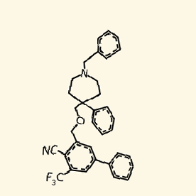 N#Cc1c(COCC2(c3ccccc3)CCN(Cc3ccccc3)CC2)cc(-c2ccccc2)cc1C(F)(F)F